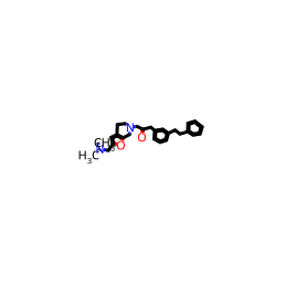 CN(C)Cc1cc2c(o1)CN(CC(=O)Cc1cccc(CCc3ccccc3)c1)CC2